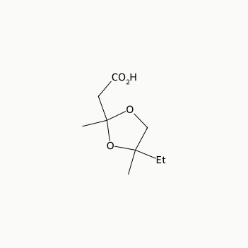 CCC1(C)COC(C)(CC(=O)O)O1